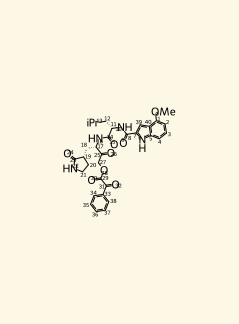 COc1cccc2[nH]c(C(=O)N[C@@H](CC(C)C)C(=O)N[C@@H](C[C@@H]3CCNC3=O)C(=O)COC(=O)C(=O)c3ccccc3)cc12